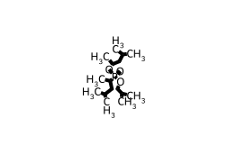 CC(C)COP(=O)(OC(C)CC(C)C)C(C)CC(C)C